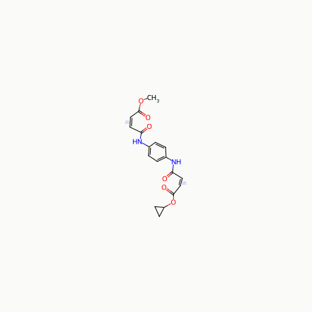 COC(=O)/C=C\C(=O)Nc1ccc(NC(=O)/C=C\C(=O)OC2CC2)cc1